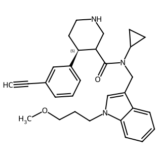 C#Cc1cccc([C@H]2CCNCC2C(=O)N(Cc2cn(CCCOC)c3ccccc23)C2CC2)c1